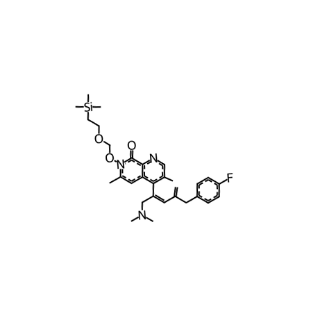 C=C(/C=C(/CN(C)C)c1c(C)cnc2c(=O)n(OCOCC[Si](C)(C)C)c(C)cc12)Cc1ccc(F)cc1